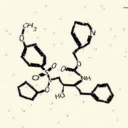 COc1ccc(S(=O)(=O)N(C[C@H](O)[C@H](Cc2ccccc2)NC(=O)OCc2cccnc2)OC2CCCC2)cc1